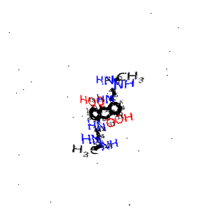 CC(=N)NCCNc1ccc(O)c2c1C(=O)c1c(O)ccc(NCCNC(C)=N)c1C2=O